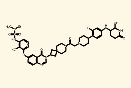 CCN(C)S(=O)(=O)Nc1cccc(Oc2ccc3ncn(C4CC5(CCN(C(=O)CN6CCC(c7ccc(NC8CCC(=O)NC8O)cc7F)CC6)CC5)C4)c(=O)c3c2)c1C#N